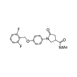 CNC(=O)C1CC(=O)N(c2ccc(OCc3c(F)cccc3F)cc2)C1